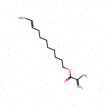 C=C(C)C(=O)OCCCCCCCCC=CCCCCCCCC